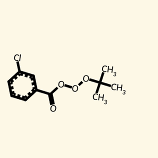 CC(C)(C)OOOC(=O)c1cccc(Cl)c1